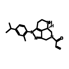 C=CC(=O)N1Cc2nn(-c3ccc(C(C)C)cc3C)c3c2[C@H](C1)NCC3